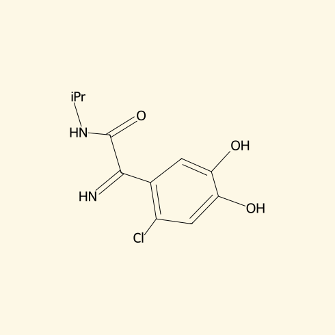 CC(C)NC(=O)C(=N)c1cc(O)c(O)cc1Cl